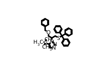 C[Si](C)(C)c1cnnn1C(COCc1ccccc1)CSC(c1ccccc1)(c1ccccc1)c1ccccc1